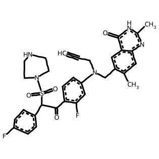 C#CCN(Cc1cc2c(=O)[nH]c(C)nc2cc1C)c1ccc(C(=O)C(c2ccc(F)cc2)S(=O)(=O)N2CCNCC2)c(F)c1